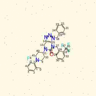 Cc1cccc(F)c1N1CCC(N2Cc3nnn(Cc4ccccc4)c3N(Cc3ccccc3C(F)(F)F)C2=O)CC1